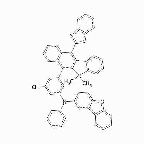 CC1(C)c2ccccc2-c2c1c(-c1cc(Cl)cc(N(c3ccccc3)c3ccc4oc5ccccc5c4c3)c1)c1ccccc1c2-c1cc2ccccc2s1